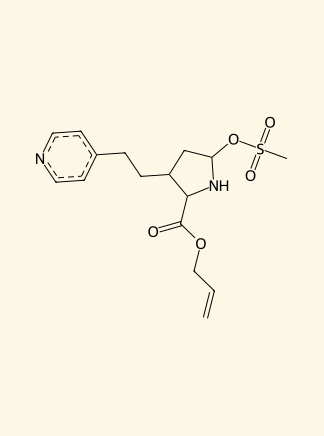 C=CCOC(=O)C1NC(OS(C)(=O)=O)CC1CCc1ccncc1